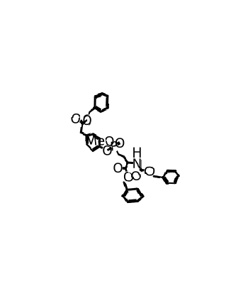 COP(=O)(CCC(NC(=O)OCc1ccccc1)C(=O)OCc1ccccc1)Oc1ccc(CC(=O)OCc2ccccc2)cc1